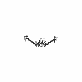 O=C(C(CF)c1ncc(CCCCCCC(F)(F)F)s1)C(CF)c1ncc(CCCCCCC(F)(F)F)s1